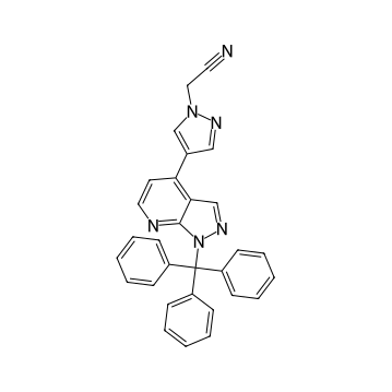 N#CCn1cc(-c2ccnc3c2cnn3C(c2ccccc2)(c2ccccc2)c2ccccc2)cn1